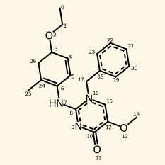 CCOC1C=CC(Nc2nc(=O)c(OC)cn2Cc2ccccc2)=C(C)C1